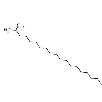 CCCCCCCCCCCCCCCCCC[C](C)C